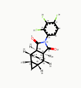 O=C1[C@@H]2[C@@H]3CC[C@@H]([C@@H]4C[C@@H]43)[C@@H]2C(=O)N1c1ccc(F)c(F)c1F